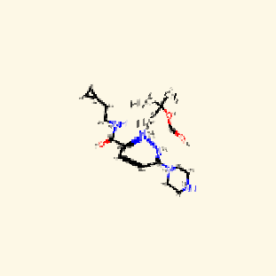 CC(C)(C)OC=O.O=C(NCCC1CC1)c1ccc(N2CCNCC2)nn1